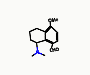 COc1ccc(C=O)c2c1CCCC2N(C)C